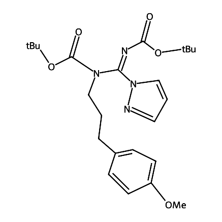 COc1ccc(CCCN(C(=O)OC(C)(C)C)C(=NC(=O)OC(C)(C)C)n2cccn2)cc1